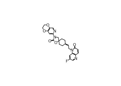 O=C1OC2(CCC(=CCn3c(=O)ccc4ncc(F)cc43)CC2)CN1c1cc2c(cn1)OCCO2